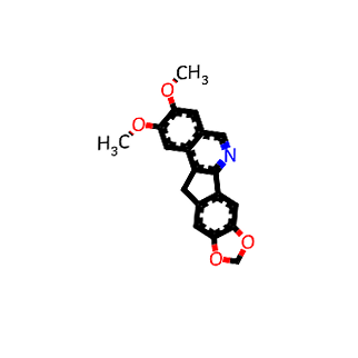 COc1cc2cnc3c(c2cc1OC)Cc1cc2c(cc1-3)OCO2